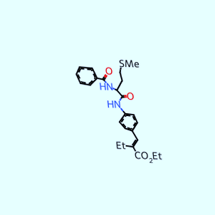 CCOC(=O)C(=Cc1ccc(NC(=O)C(CCSC)NC(=O)c2ccccc2)cc1)CC